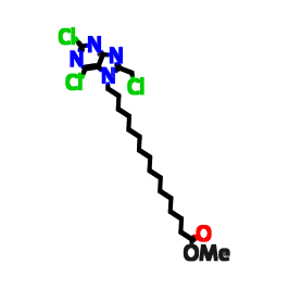 COC(=O)CCCCCCCCCCCCCCCn1c(CCl)nc2nc(Cl)nc(Cl)c21